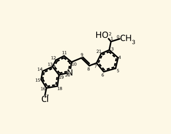 CC(O)c1cccc(C=Cc2ccc3ccc(Cl)cc3n2)c1